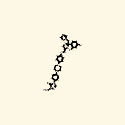 CCCC(C)n1ncn(-c2ccc(N3CCN(c4ccc(OCC5COC(Cn6cncn6)(c6ccc(Cl)cc6Cl)O5)cc4)CC3)cc2)c1=O